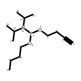 C#CCCOP(OCCCC)N(C(C)C)C(C)C